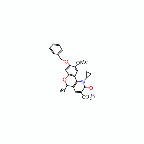 COc1cc2c(cc1OCc1ccccc1)OC(C(C)C)c1cc(C(=O)O)c(=O)n(C3CC3)c1-2